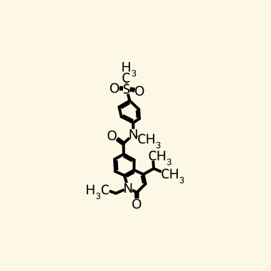 CCn1c(=O)cc(C(C)C)c2cc(C(=O)N(C)c3ccc(S(C)(=O)=O)cc3)ccc21